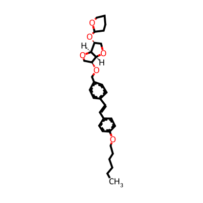 CCCCCCOc1ccc(/C=C/c2ccc(CO[C@H]3CO[C@@H]4[C@H]3OC[C@H]4OC3CCCCO3)cc2)cc1